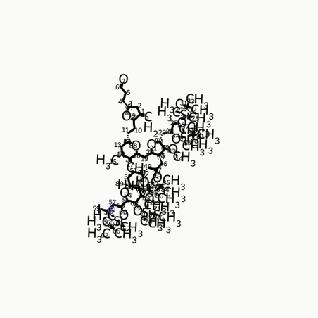 C=C1C[C@H](CCC=O)OC1CC[C@H]1C[C@@H](C)C(=C)C(CC2O[C@H](C[C@@H](CO[Si](C)(C)C(C)(C)C)O[Si](C)(C)C(C)(C)C)[C@H](OC)[C@H]2CC(=O)C[C@H]2CC[C@@H]3OC(C(/C=C/I)O[Si](C)(C)C(C)(C)C)C(O[Si](C)(C)C(C)(C)C)C(O[Si](C)(C)C(C)(C)C)[C@H]3O2)O1